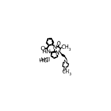 CC(CC#CCN1CCN(C)CC1)C(=O)N1c2ccccc2C(=O)Nc2cccnc21.Cl.Cl